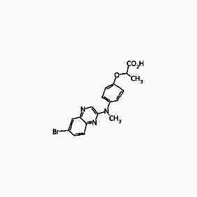 CC(Oc1ccc(N(C)c2cnc3cc(Br)ccc3n2)cc1)C(=O)O